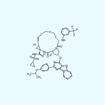 CC(C)Oc1ccc(-c2nc(O[C@@H]3C[C@H]4C(=O)N[C@]5(C(=O)NS(=O)(=O)C6CC6)C[C@H]5/C=C\CCCCC[C@H](Nc5cccc(C(F)(F)F)c5)C(=O)N4C3)c3oc4ccccc4c3n2)cc1